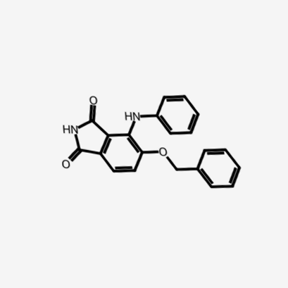 O=C1NC(=O)c2c1ccc(OCc1ccccc1)c2Nc1ccccc1